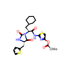 COC(=O)Oc1csc(NC(=O)[C@H](CC2CCCCC2)N2C(=O)N[C@@H](Cc3cccs3)C2=O)n1